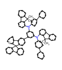 CC1(C)c2ccccc2-c2cccc(N(c3ccc(-c4ccccc4)cc3)c3cc(-c4ccc5c(c4)-c4ccccc4C54c5ccccc5-c5ccccc54)cc(N(c4ccc(-c5ccccc5)cc4)c4cccc5c4C(C)(C)c4ccccc4-5)c3)c21